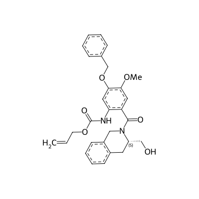 C=CCOC(=O)Nc1cc(OCc2ccccc2)c(OC)cc1C(=O)N1Cc2ccccc2C[C@H]1CO